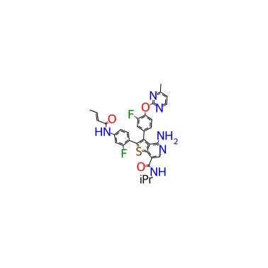 CC=CC(=O)Nc1ccc(-c2sc3c(C(=O)NC(C)C)cnc(N)c3c2-c2ccc(Oc3nccc(C)n3)c(F)c2)c(F)c1